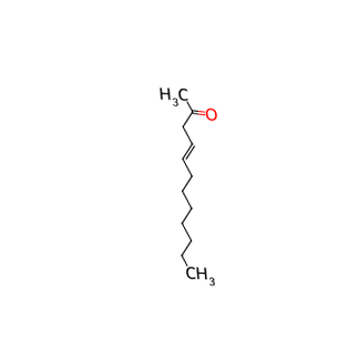 CCCCCCCC=CCC(C)=O